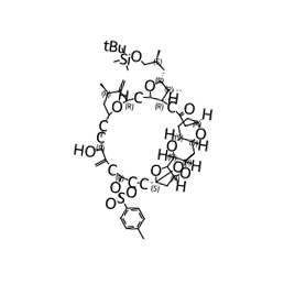 C=C1C[C@H](OS(=O)(=O)c2ccc(C)cc2)CC[C@@]23C[C@H]4O[C@H]5C(O2)[C@H]2O[C@H](CC[C@@H]2O[C@H]5C4O3)CC(=O)C[C@H]2C(C[C@H]3OC(CC[C@@H]1O)C[C@@H](C)C3=C)O[C@H](C[C@H](C)CO[Si](C)(C)C(C)(C)C)[C@@H]2C